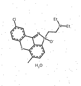 CCN(CC)CC[N+]1([O-])N=C2c3cc(Cl)ccc3Sc3c(C)ccc1c32.O